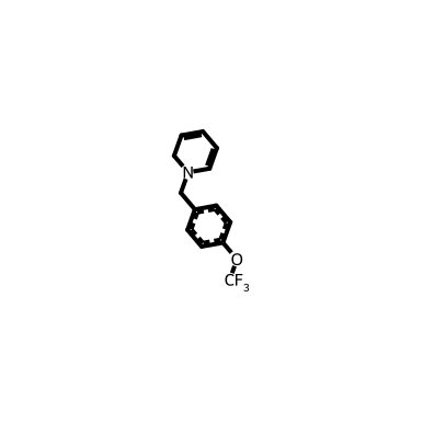 FC(F)(F)Oc1ccc(CN2C=CC=CC2)cc1